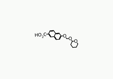 O=C(O)c1ccc2cc(OCOC3CCCCO3)ccc2c1